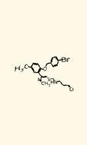 C=N/C(=C\SCNCCC=O)c1cc(C)ccc1OCc1ccc(Br)cc1